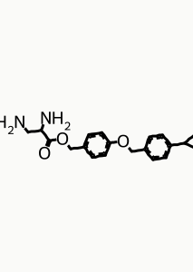 NCC(N)C(=O)OCc1ccc(OCc2ccc(C3CC3)cc2)cc1